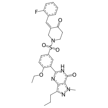 CCCc1nn(C)c2c(=O)[nH]c(-c3cc(S(=O)(=O)N4CCC(=O)/C(=C\c5ccccc5F)C4)ccc3OCC)nc12